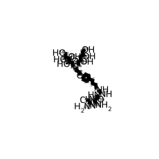 N=C(NCCCCc1ccc(OCCN(CC[C@@H](O)[C@H](O)[C@H](O)CO)C[C@H](O)[C@@H](O)C[C@H](O)CO)cc1)NC(=O)c1nc(Cl)c(N)nc1N